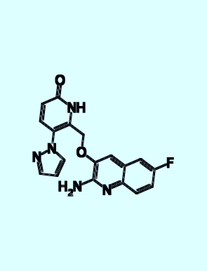 Nc1nc2ccc(F)cc2cc1OCc1[nH]c(=O)ccc1-n1cccn1